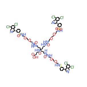 CN1Cc2c(Cl)cc(Cl)cc2[C@H](c2cccc(SNCCOCCOCCNC(=O)NCCCC(CCCNC(=O)NCCOCCOCCN[S+]([O-])c3cccc([C@@H]4CN(C)Cc5c(Cl)cc(Cl)cc54)c3)(CCCNC(=O)NCCOCCOCCNS(=O)(=O)c3cccc([C@@H]4CN(C)Cc5c(Cl)cc(Cl)cc54)c3)NC(=O)CCC(=O)O)c2)C1